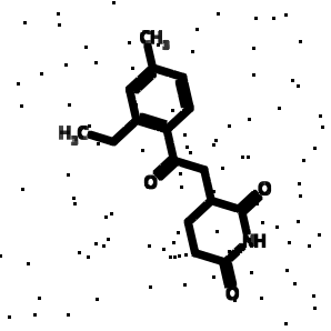 CCc1cc(C)ccc1C(=O)CC1CCC(=O)NC1=O